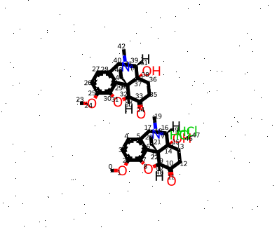 COc1ccc2c3c1O[C@H]1C(=O)CC[C@@]4(O)[C@@H](C2)N(C)CC[C@]314.COc1ccc2c3c1O[C@H]1C(=O)CC[C@@]4(O)[C@@H](C2)N(C)CC[C@]314.Cl.Cl